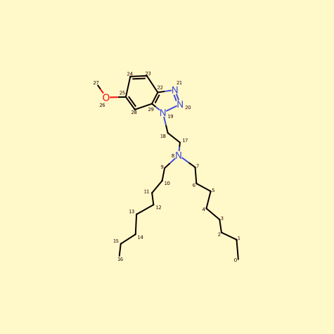 CCCCCCCCN(CCCCCCCC)CCn1nnc2ccc(OC)cc21